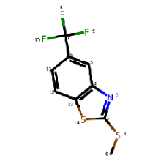 CSc1nc2cc(C(F)(F)F)ccc2s1